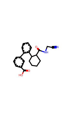 N#CCNC(=O)C1CCCCC1c1ccccc1-c1cccc(C(=O)O)c1